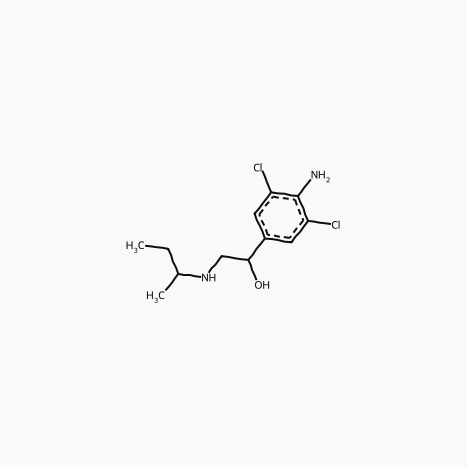 CCC(C)NCC(O)c1cc(Cl)c(N)c(Cl)c1